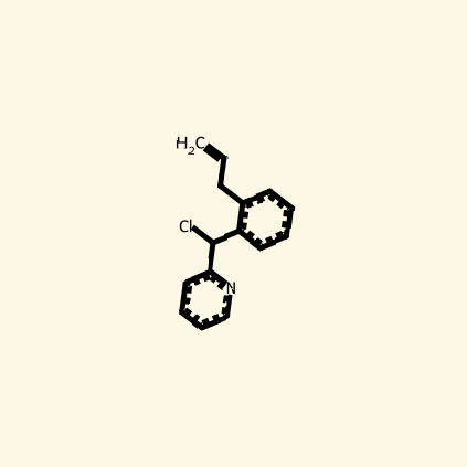 C=CCc1ccccc1C(Cl)c1ccccn1